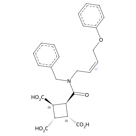 O=C(O)[C@@H]1[C@H](C(=O)O)[C@@H](C(=O)O)[C@H]1C(=O)N(C/C=C\COc1ccccc1)Cc1ccccc1